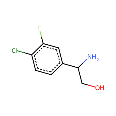 NC(CO)c1ccc(Cl)c(F)c1